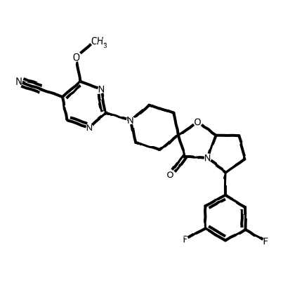 COc1nc(N2CCC3(CC2)OC2CCC(c4cc(F)cc(F)c4)N2C3=O)ncc1C#N